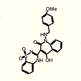 COc1ccc(CNn2c(=O)c(C3=NS(=O)(=O)c4ccccc4N3)c(O)c3ccccc32)cc1